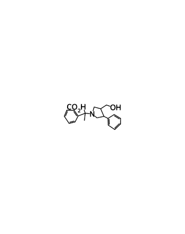 CC(C(=O)O)(c1ccccc1)N1CC(CO)C(c2ccccc2)C1